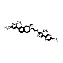 Cc1cnc(-c2nnc(SCCN3CCc4ccc(-c5cc(C)nn5C)cc4CC3)n2C)cn1.Cl